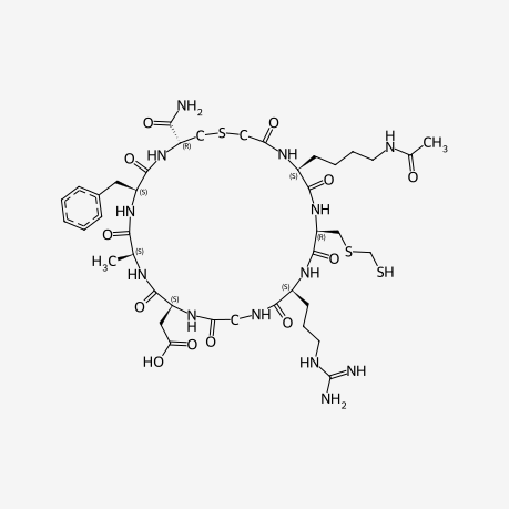 CC(=O)NCCCC[C@@H]1NC(=O)CSC[C@@H](C(N)=O)NC(=O)[C@H](Cc2ccccc2)NC(=O)[C@H](C)NC(=O)[C@H](CC(=O)O)NC(=O)CNC(=O)[C@H](CCCNC(=N)N)NC(=O)[C@H](CSCS)NC1=O